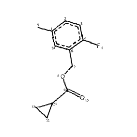 Cc1ccc(F)c(COC(=O)C2CC2)c1